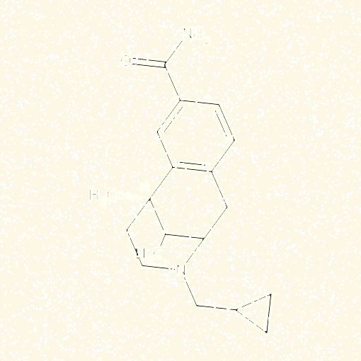 CC1C2Cc3ccc(C(N)=O)cc3[C@]1(C)CCN2CC1CC1